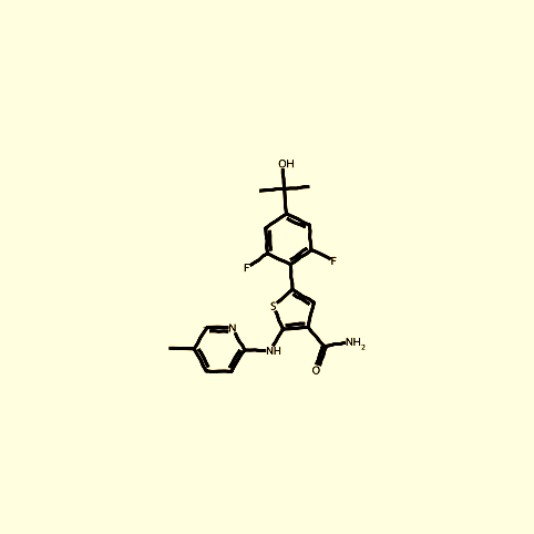 Cc1[c]nc(Nc2sc(-c3c(F)cc(C(C)(C)O)cc3F)cc2C(N)=O)cc1